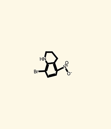 O=[N+]([O-])c1ccc(Br)c2c1CCCN2